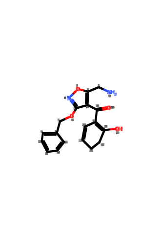 NCc1onc(OCc2ccccc2)c1C(=O)C1=C(O)CCC=C1